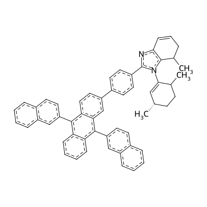 CC1CC[C@H](C)C=C1n1c(-c2ccc(-c3ccc4c(-c5ccc6ccccc6c5)c5ccccc5c(-c5ccc6ccccc6c5)c4c3)cc2)nc2c1C(C)CC=C2